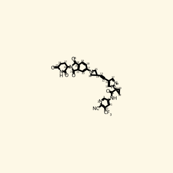 N#Cc1ncc(NC(=O)C2(n3cc(C#CC4CN(c5ccc6c(c5)C(=O)N(C5CCC(=O)NC5=O)C6=O)C4)cn3)CC2)cc1C(F)(F)F